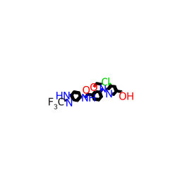 O=C(Nc1ccc2[nH]c(C(F)(F)F)nc2c1)c1cccc2c1OCCN2c1ncc(CO)cc1Cl